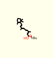 CCCCOC(O)C=C(C)C=CC=C(C)C=CC1=C(C)CCCC1(C)C